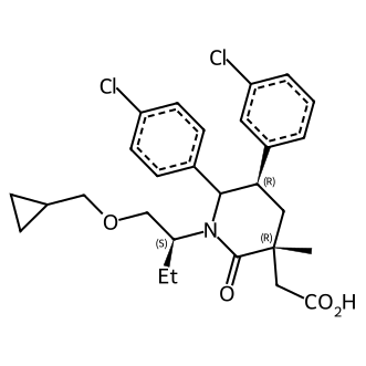 CC[C@@H](COCC1CC1)N1C(=O)[C@@](C)(CC(=O)O)C[C@H](c2cccc(Cl)c2)C1c1ccc(Cl)cc1